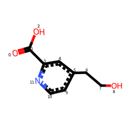 O=C(O)c1cc(CCO)ccn1